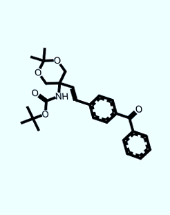 CC(C)(C)OC(=O)NC1(/C=C/c2ccc(C(=O)c3ccccc3)cc2)COC(C)(C)OC1